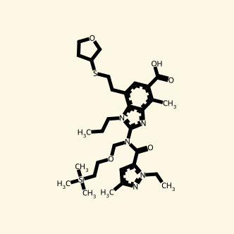 CCCn1c(N(COCC[Si](C)(C)C)C(=O)c2cc(C)nn2CC)nc2c(C)c(C(=O)O)cc(CCSC3CCOC3)c21